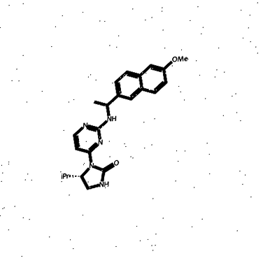 COc1ccc2cc(C(C)Nc3nccc(N4C(=O)NC[C@@H]4C(C)C)n3)ccc2c1